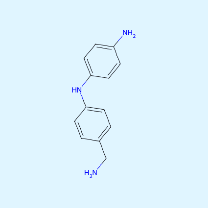 NCc1ccc(Nc2ccc(N)cc2)cc1